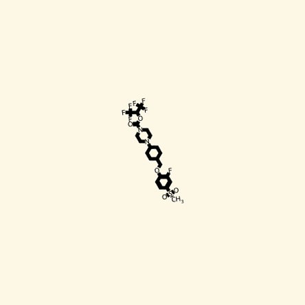 CS(=O)(=O)c1ccc(OCC2CCC(N3CCN(C(=O)OC(C(F)(F)F)C(F)(F)F)CC3)CC2)c(F)c1